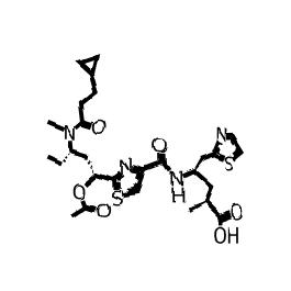 CC[C@@H](C[C@@H](OC(C)=O)c1nc(C(=O)N[C@@H](Cc2nccs2)C[C@H](C)C(=O)O)cs1)N(C)C(=O)CCC1CC1